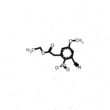 CCOC(=O)Cc1cc(OC)cc(C#N)c1[N+](=O)[O-]